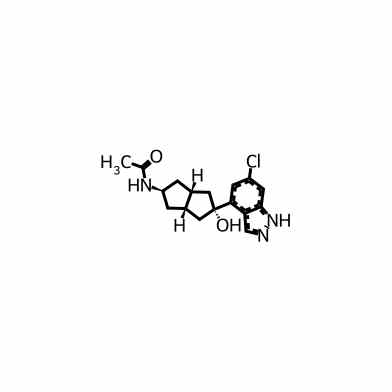 CC(=O)N[C@H]1C[C@@H]2C[C@@](O)(c3cc(Cl)cc4[nH]ncc34)C[C@@H]2C1